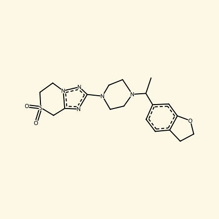 CC(c1ccc2c(c1)OCC2)N1CCN(c2nc3n(n2)CCS(=O)(=O)C3)CC1